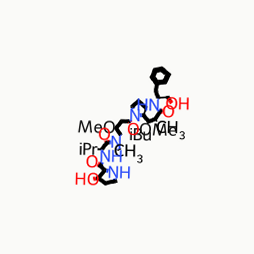 CC[C@H](C)[C@@H]([C@@H](CC(=O)N1CCC[C@H]1[C@H](OC)[C@@H](C)C(=O)N[C@H](CO)Cc1ccccc1)OC)N(C)C(=O)[C@@H](NC(=O)C1NCCC1O)C(C)C